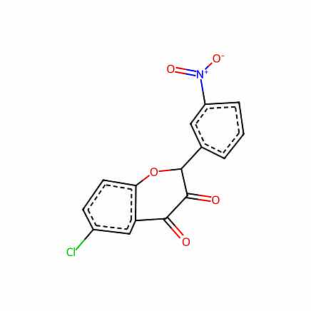 O=C1C(=O)C(c2cccc([N+](=O)[O-])c2)Oc2ccc(Cl)cc21